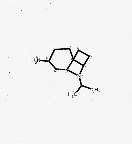 CC(C)N1C2CCC23CCC(N)CC13